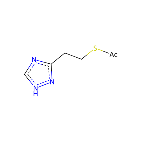 CC(=O)SCCc1nc[nH]n1